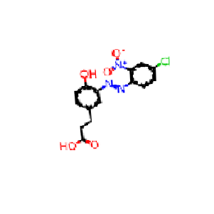 O=C(O)CCc1ccc(O)c(N=Nc2ccc(Cl)cc2[N+](=O)[O-])c1